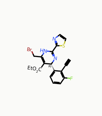 C#Cc1c(F)cccc1[C@H]1N=C(c2nccs2)NC(CBr)=C1C(=O)OCC